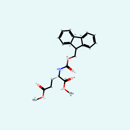 CC(C)(C)OC(=O)CC[C@H](NC(=O)OCC1c2ccccc2-c2ccccc21)C(=O)OC(C)(C)C